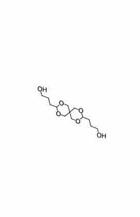 OCCCC1OCC2(CO1)COC(CCCO)OC2